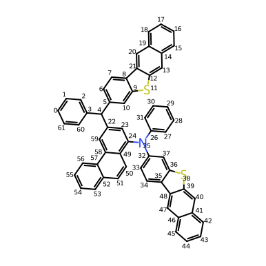 c1ccc(C(c2ccc3c(c2)sc2cc4ccccc4cc23)c2cc(N(c3ccccc3)c3ccc4c(c3)sc3cc5ccccc5cc34)c3ccc4ccccc4c3c2)cc1